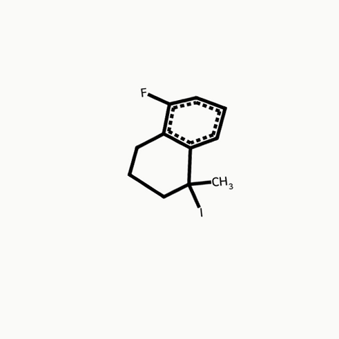 CC1(I)CCCc2c(F)cccc21